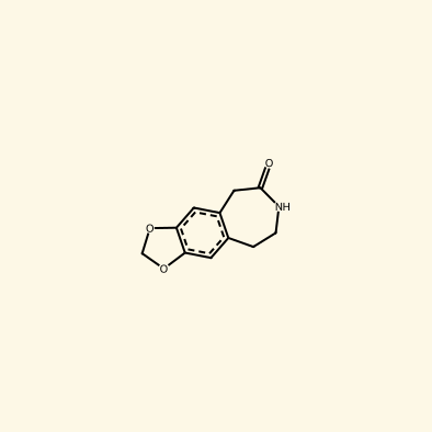 O=C1Cc2cc3c(cc2CCN1)OCO3